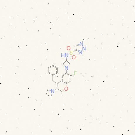 CCn1cc(S(=O)(=O)NC2CN(c3cc4c(cc3F)OCC(N3CCC3)C4Cc3ccccc3)C2)nn1